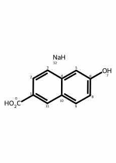 O=C(O)c1ccc2cc(O)ccc2c1.[NaH]